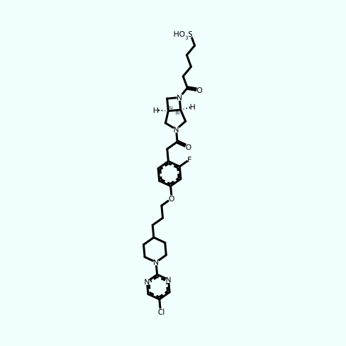 O=C(Cc1ccc(OCCCC2CCN(c3ncc(Cl)cn3)CC2)cc1F)N1C[C@H]2CN(C(=O)CCCCS(=O)(=O)O)[C@H]2C1